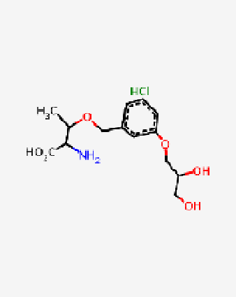 CC(OCc1cccc(OCC(O)CO)c1)C(N)C(=O)O.Cl